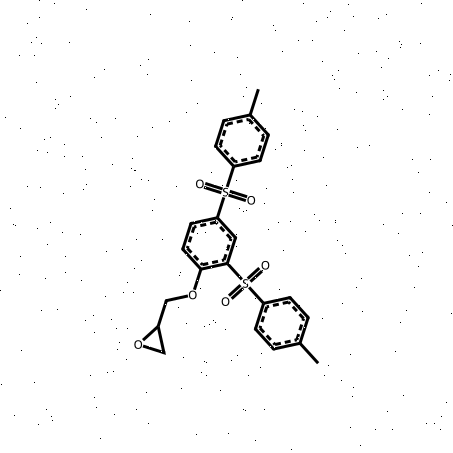 Cc1ccc(S(=O)(=O)c2ccc(OCC3CO3)c(S(=O)(=O)c3ccc(C)cc3)c2)cc1